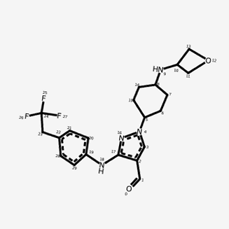 O=Cc1cn(C2CCC(NC3COC3)CC2)nc1Nc1ccc(CC(F)(F)F)cc1